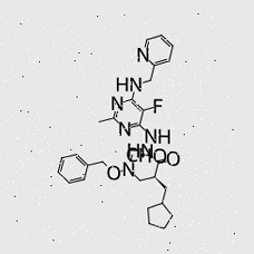 Cc1nc(NCc2ccccn2)c(F)c(NNC(=O)[C@@H](CC2CCCC2)CN(C=O)OCc2ccccc2)n1